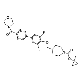 CC1(OC(=O)N2CCC(COc3c(F)cc(-c4cnc(C(=O)N5CCOCC5)nc4)cc3F)CC2)CC1